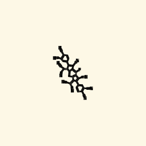 N#CC(C#N)=C1C(c2ccc(C#N)c(C#N)c2)=C(C#N)c2c1cc1c(c2F)C(C#N)=C(c2ccc(C#N)c(C#N)c2)C1=C(C#N)C#N